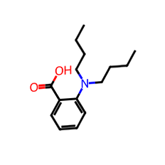 CCCCN(CCCC)c1ccccc1C(=O)O